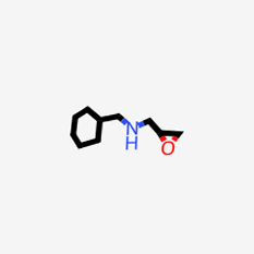 C1CCC(CNCC2CO2)CC1